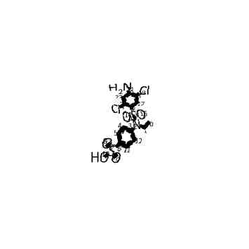 CCN(c1ccc(S(=O)(=O)O)cc1)S(=O)(=O)c1cc(Cl)c(N)cc1Cl